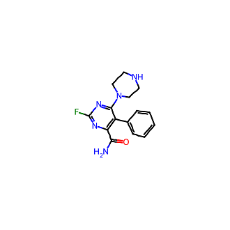 NC(=O)c1nc(F)nc(N2CCNCC2)c1-c1ccccc1